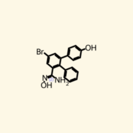 N/C(=N\O)c1cc(Br)cc(-c2ccc(O)cc2)c1-c1ccccc1